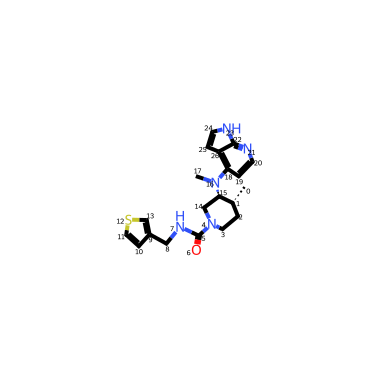 C[C@@H]1CCN(C(=O)NCc2ccsc2)C[C@@H]1N(C)c1ccnc2[nH]ccc12